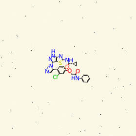 O=C(COc1ccc(-c2cncn2-c2n[nH]c3nc(NC(=O)C4CC4)sc23)c(Cl)c1)Nc1ccccc1